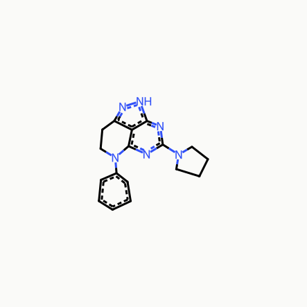 c1ccc(N2CCc3n[nH]c4nc(N5CCCC5)nc2c34)cc1